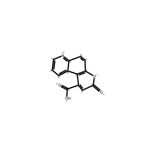 O=C(O)c1cc(=O)oc2ccc3ncccc3c12